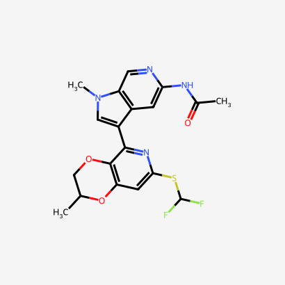 CC(=O)Nc1cc2c(-c3nc(SC(F)F)cc4c3OCC(C)O4)cn(C)c2cn1